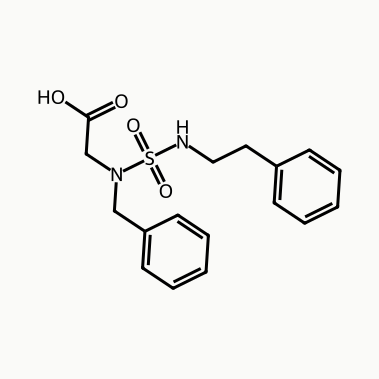 O=C(O)CN(Cc1ccccc1)S(=O)(=O)NCCc1ccccc1